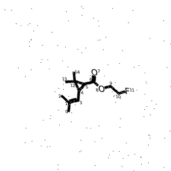 CC(C)=CC1C(C(=O)OCCF)C1(C)C